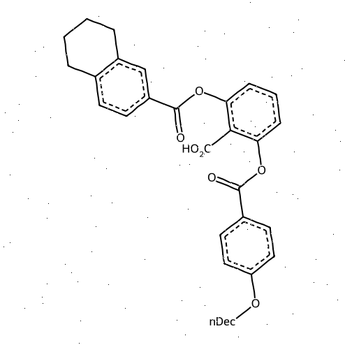 CCCCCCCCCCOc1ccc(C(=O)Oc2cccc(OC(=O)c3ccc4c(c3)CCCC4)c2C(=O)O)cc1